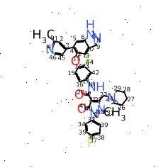 Cc1cc(-c2cc3[nH]ncc3cc2Oc2ccc(NC(=O)c3c(CN4CCCCC4)n(C)n(-c4ccc(F)cc4)c3=O)cc2F)ccn1